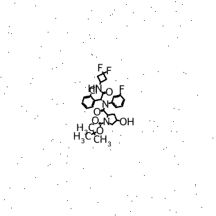 CC(C)(C)OC(=O)N1CC(O)CC1C(=O)N(c1cccc(F)c1)[C@@H](C(=O)NC1CC(F)(F)C1)c1ccccc1Cl